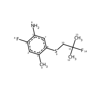 Cc1cc(F)c(N)cc1SCC(C)(C)F